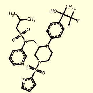 CC(C)CS(=O)(=O)N(C[C@H]1CN(S(=O)(=O)c2cccs2)CCN1c1ccc(C(C)(O)C(F)(F)F)cc1)c1cccnc1